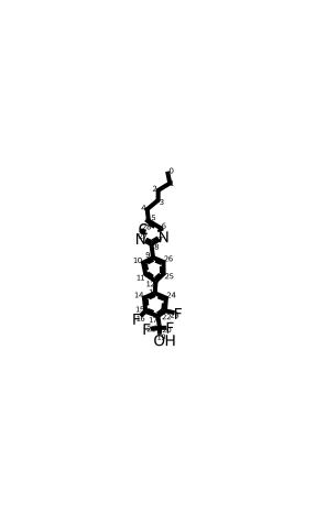 CCCCCc1cnc(-c2ccc(-c3cc(F)c(C(O)(F)F)c(F)c3)cc2)nc1